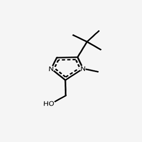 Cn1c(C(C)(C)C)cnc1CO